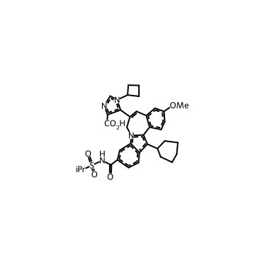 COc1ccc2c(c1)C=C(c1c(C(=O)O)ncn1C1CCC1)Cn1c-2c(C2CCCCC2)c2ccc(C(=O)NS(=O)(=O)C(C)C)cc21